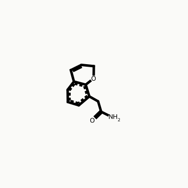 NC(=O)Cc1cccc2c1OCC=C2